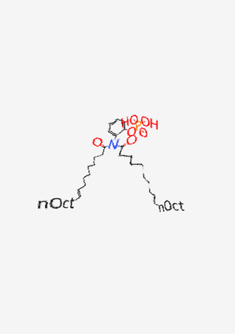 CCCCCCCCC=CCCCCCCCC(=O)N(C(=O)CCCCCCCC=CCCCCCCCC)c1ccccc1OP(=O)(O)O